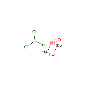 CCC(C)O.CO.ClC(Cl)Cl.O